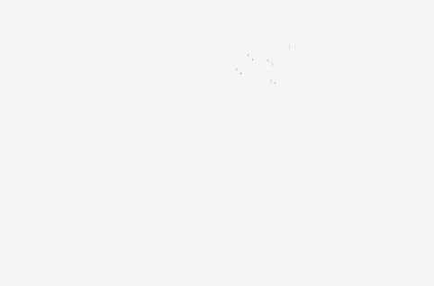 Cc1cc(-c2nnn(C)n2)cc(C)c1OCCCCC1OCCO1